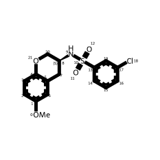 COc1ccc2c(c1)C[C@H](NS(=O)(=O)c1cccc(Cl)c1)CO2